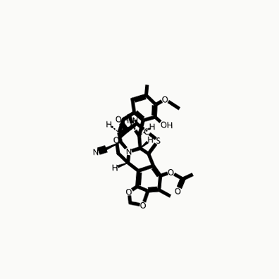 COc1c(C)cc2c(c1O)[C@H]1[C@@H]3C4SC[C@H](N)C(=O)OC[C@@H](c5c6c(c(C)c(OC(C)=O)c54)OCO6)N3[C@@H](C#N)[C@@H](C2)N1C